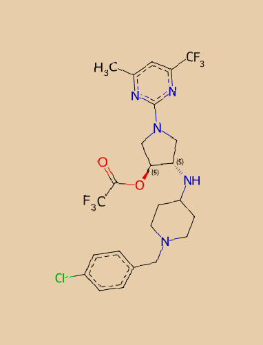 Cc1cc(C(F)(F)F)nc(N2C[C@H](NC3CCN(Cc4ccc(Cl)cc4)CC3)[C@@H](OC(=O)C(F)(F)F)C2)n1